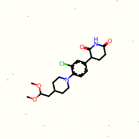 COC(CC1CCN(c2ccc(C3CCC(=O)NC3=O)cc2Cl)CC1)OC